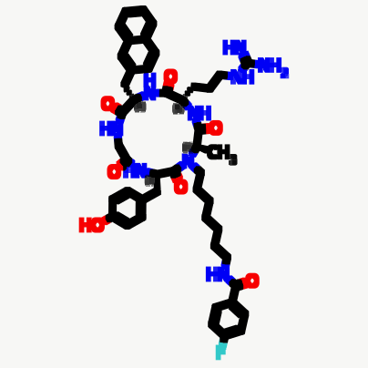 C[C@@H]1C(=O)N[C@@H](CCCNC(=N)N)C(=O)N[C@@H](Cc2ccc3ccccc3c2)C(=O)NCC(=O)N[C@H](Cc2ccc(O)cc2)C(=O)N1CCCCCCCNC(=O)c1ccc(F)cc1